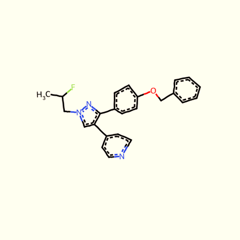 CC(F)Cn1cc(-c2ccncc2)c(-c2ccc(OCc3ccccc3)cc2)n1